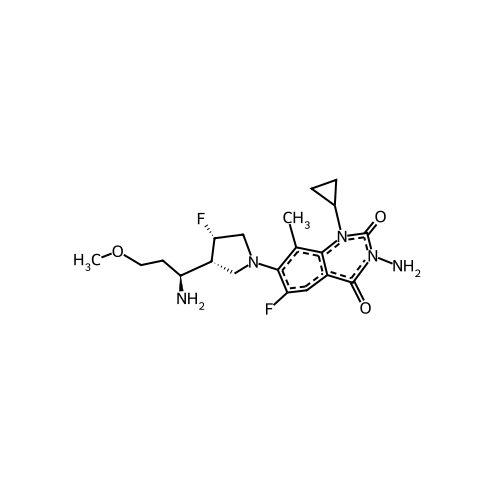 COCC[C@H](N)[C@H]1CN(c2c(F)cc3c(=O)n(N)c(=O)n(C4CC4)c3c2C)C[C@H]1F